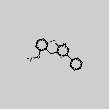 COc1ccccc1Cc1nc(-c2ccccc2)cnc1O